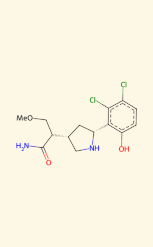 COCC(C(N)=O)[C@H]1CN[C@@H](c2c(O)ccc(Cl)c2Cl)C1